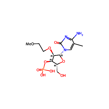 COCCO[C@@H]1[C@H](OP(=O)(O)O)[C@@H](CO)O[C@H]1n1cc(C)c(N)nc1=O